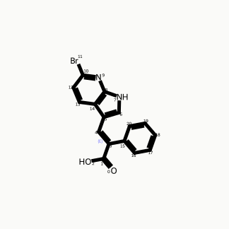 O=C(O)/C(=C/c1c[nH]c2nc(Br)ccc12)c1ccccc1